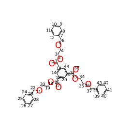 O=C(OCCOCc1ccccc1)c1cc(C(=O)OCCOCc2ccccc2)cc(C(=O)OCCOCc2ccccc2)c1